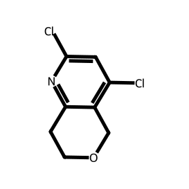 Clc1cc(Cl)c2c(n1)CCOC2